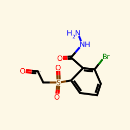 NNC(=O)c1c(Br)cccc1S(=O)(=O)C[C]=O